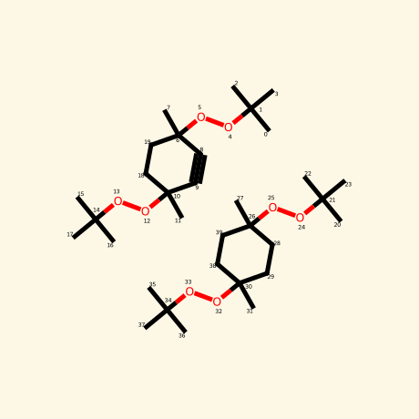 CC(C)(C)OOC1(C)C#CC(C)(OOC(C)(C)C)CC1.CC(C)(C)OOC1(C)CCC(C)(OOC(C)(C)C)CC1